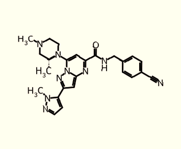 C[C@@H]1CN(C)CCN1c1cc(C(=O)NCc2ccc(C#N)cc2)nc2cc(-c3ccnn3C)nn12